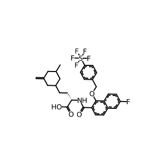 C=C1CC(C)CC(CC[C@H](NC(=O)c2ccc3cc(F)ccc3c2OCc2ccc(S(F)(F)(F)(F)F)cc2)C(=O)O)C1